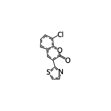 O=c1oc2c(Cl)cccc2cc1-c1nccs1